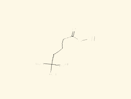 CCCCC(CCCC)(CCCC)CCCC(=O)O[SiH3]